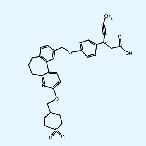 CC#C[C@@H](CC(=O)O)c1ccc(OCc2ccc3c(c2)-c2ccc(OCC4CCS(=O)(=O)CC4)nc2CCC3)cc1